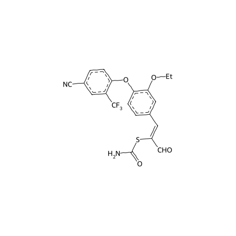 CCOc1cc(/C=C(/C=O)SC(N)=O)ccc1Oc1ccc(C#N)cc1C(F)(F)F